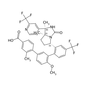 COc1ccc(-c2ccc(C(=O)O)cc2C)cc1-c1ccc(C(F)(F)F)cc1[C@@H]1CC[C@]2(C)N1C(=O)N[C@]2(C)c1ccnc(C(F)(F)F)c1